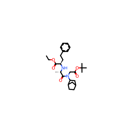 CCOC(=O)[C@@H](CCc1ccccc1)N[C@@H](C)C(=O)N(CC(=O)OC(C)(C)C)C1CC2CCC1C2